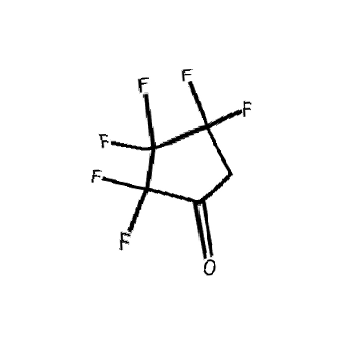 O=C1CC(F)(F)C(F)(F)C1(F)F